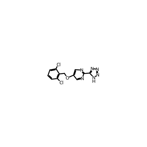 Clc1cccc(Cl)c1COc1cnc(-c2nnn[nH]2)nc1